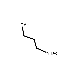 CC(=O)NCCCOC(C)=O